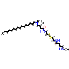 CCCCCCCCCCCCCCCCN(C)CCCC(=O)NCCSSCCNC(=O)CCCNC